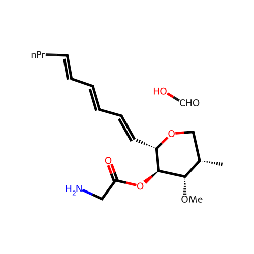 CCCC=CC=CC=C[C@@H]1OC[C@H](C)[C@H](OC)[C@H]1OC(=O)CN.O=CO